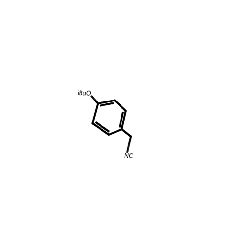 [C-]#[N+]Cc1ccc(OCC(C)C)cc1